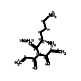 C=CC(=O)N(C(=O)C=C)C(=O)[C@@H](N)CCCN.[NaH]